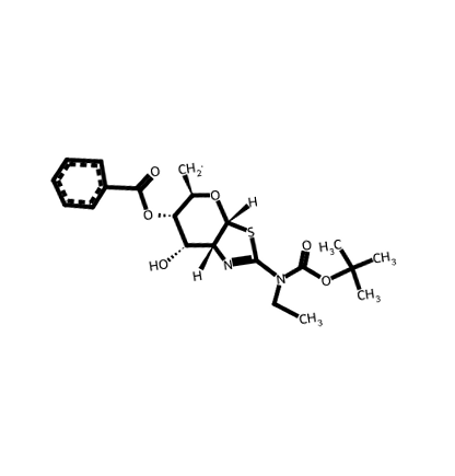 [CH2][C@H]1O[C@@H]2SC(N(CC)C(=O)OC(C)(C)C)=N[C@@H]2[C@H](O)[C@@H]1OC(=O)c1ccccc1